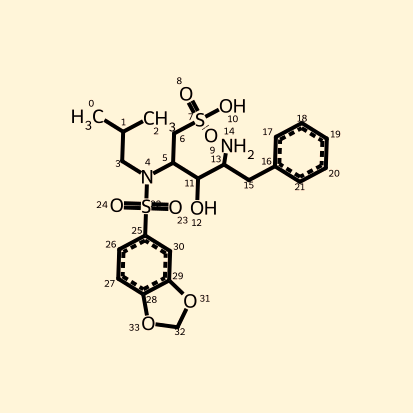 CC(C)CN(C(CS(=O)(=O)O)C(O)C(N)Cc1ccccc1)S(=O)(=O)c1ccc2c(c1)OCO2